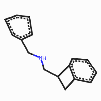 c1ccc(CNCC2Cc3ccccc32)cc1